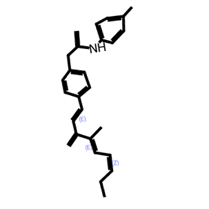 C=C(Cc1ccc(/C=C/C(=C)/C(C)=C/C=C\CC)cc1)Nc1ccc(C)cc1